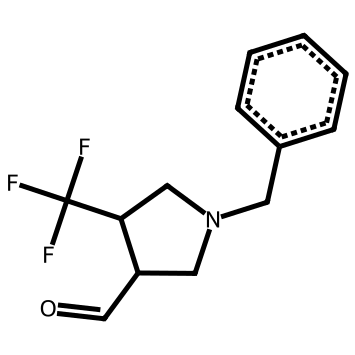 O=CC1CN(Cc2ccccc2)CC1C(F)(F)F